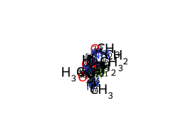 C=CCCC(C)C(=O)NC[C@@]12C[C@@H](C(=O)Nc3nc(C(F)(F)F)ccc3C)N(C(=O)Cn3nc(C(C)=O)c4cc(-c5cnc(C)cn5)cc(CC=C)c43)[C@@H]1C2